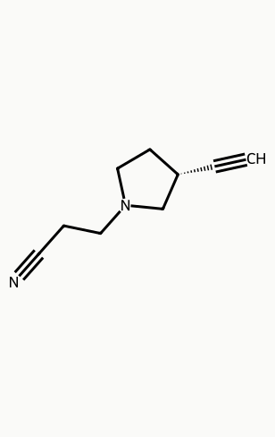 C#C[C@H]1CCN(CCC#N)C1